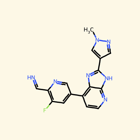 Cn1cc(-c2nc3c(-c4cnc(C=N)c(F)c4)ccnc3[nH]2)cn1